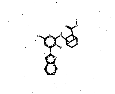 COC(=O)C1C2CCC(CC2)C1Nc1nc(Cl)nc(-c2cc3ccccc3o2)c1F